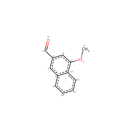 COc1cc(C=O)[c]c2ccccc12